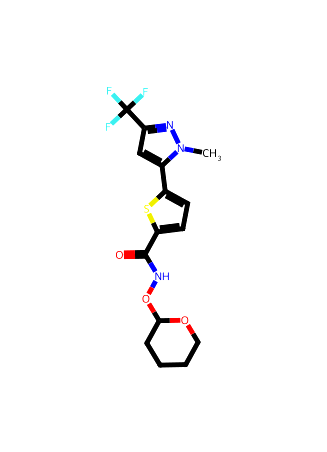 Cn1nc(C(F)(F)F)cc1-c1ccc(C(=O)NOC2CCCCO2)s1